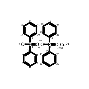 O=P([O-])(c1ccccc1)c1ccccc1.O=P([O-])(c1ccccc1)c1ccccc1.[Cu+2]